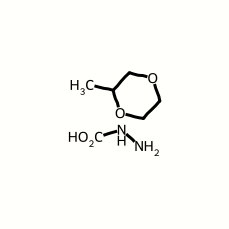 CC1COCCO1.NNC(=O)O